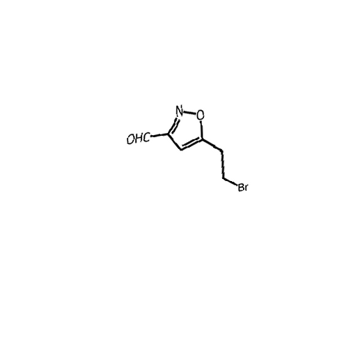 O=Cc1cc(CCBr)on1